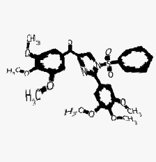 COc1cc(C(=O)c2cn(S(=O)(=O)c3ccccc3)c(-c3cc(OC)c(OC)c(OC)c3)n2)cc(OC)c1OC